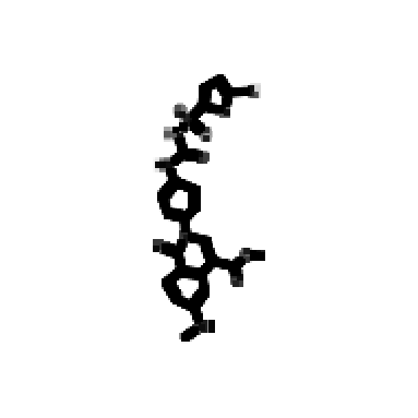 CNc1ccc2c(=O)n(-c3ccc(NC(=O)NS(=O)(=O)c4ccc(Cl)s4)cc3)cc(C(=O)OC)c2c1